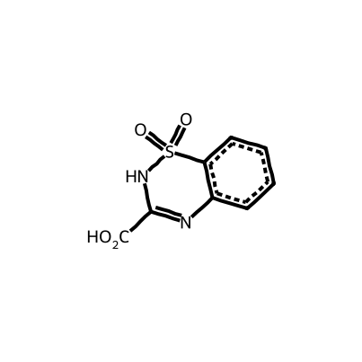 O=C(O)C1=Nc2ccccc2S(=O)(=O)N1